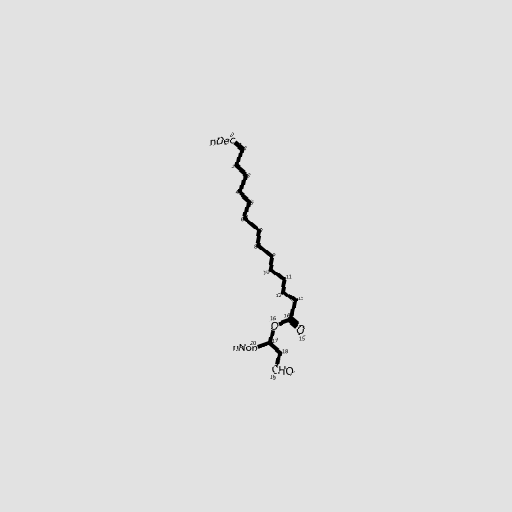 CCCCCCCCCCCCCCCCCCCCCCCC(=O)OC(C[C]=O)CCCCCCCCC